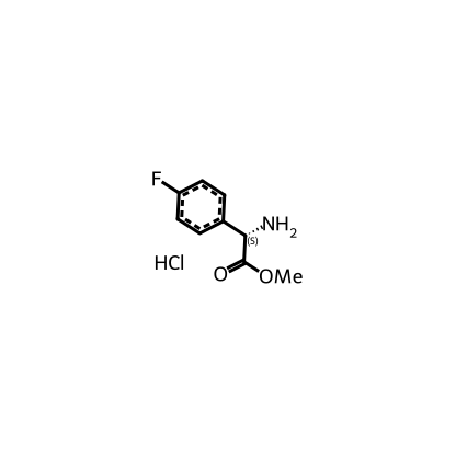 COC(=O)[C@@H](N)c1ccc(F)cc1.Cl